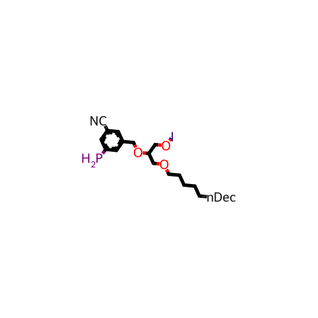 CCCCCCCCCCCCCCCOCC(COI)OCc1cc(P)cc(C#N)c1